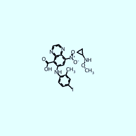 CONC1CC1.Cc1cc(I)ccc1Nc1cc([N+](=O)[O-])c2nccnc2c1C(=O)O